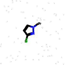 CC(C)n1ccc(Br)n1